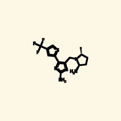 C[C@@H]1CC[C@@H](N)N1Cc1sc(N)nc1-c1cc(C(F)(F)F)cs1